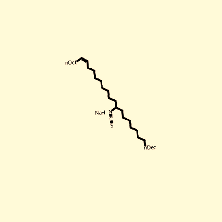 CCCCCCCC/C=C\CCCCCCCCC(CCCCCCCCCCCCCCCCC)N=C=S.[NaH]